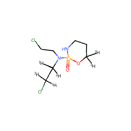 [2H]C1([2H])CCNP(=O)(N(CCCl)C([2H])([2H])C([2H])([2H])Cl)O1